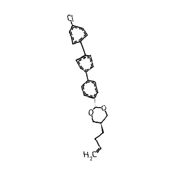 C=CCC[C@H]1CO[C@H](c2ccc(-c3ccc(-c4ccc(Cl)cc4)cc3)cc2)OC1